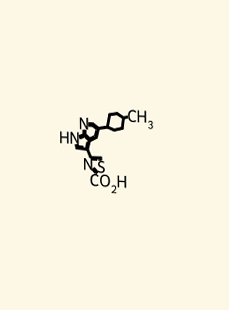 CC1CCC(c2cnc3[nH]cc(-c4csc(C(=O)O)n4)c3c2)CC1